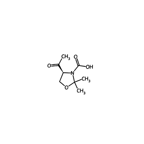 CC(=O)[C@@H]1COC(C)(C)N1C(=O)O